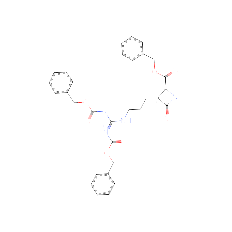 O=C(/N=C(\NCCC[C@H]1C(=O)N[C@@H]1C(=O)OCc1ccccc1)NC(=O)OCc1ccccc1)OCc1ccccc1